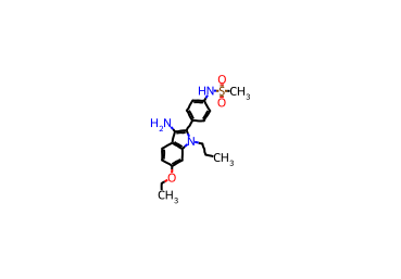 CCCn1c(-c2ccc(NS(C)(=O)=O)cc2)c(N)c2ccc(OCC)cc21